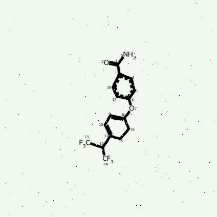 NC(=O)c1ccc(OC2=CC=C(C(C(F)(F)F)C(F)(F)F)CC2)cc1